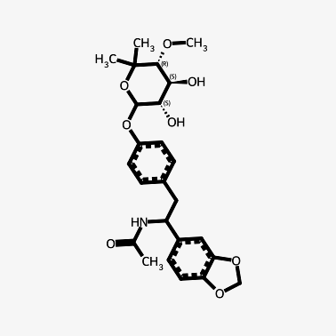 CO[C@@H]1[C@@H](O)[C@H](O)C(Oc2ccc(CC(NC(C)=O)c3ccc4c(c3)OCO4)cc2)OC1(C)C